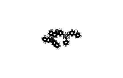 c1ccc(-c2nc(-c3ccc4oc5ccccc5c4c3)nc(-c3ccc4oc5c6ccccc6c(-n6c7cc8ccccc8cc7c7cc8ccccc8cc76)cc5c4c3)n2)cc1